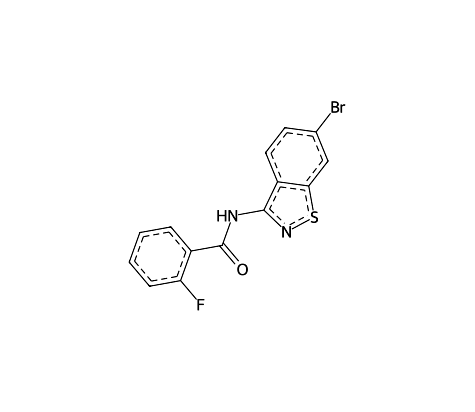 O=C(Nc1nsc2cc(Br)ccc12)c1ccccc1F